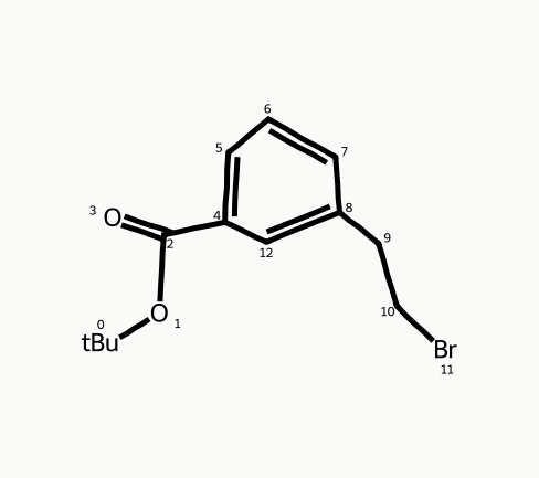 CC(C)(C)OC(=O)c1cccc(CCBr)c1